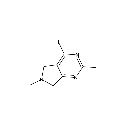 Cc1nc(I)c2c(n1)CN(C)C2